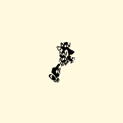 COc1ncnc(C2CC2)c1-c1ncc2nc(NCc3ccc(S(C)(=O)=O)cn3)c(=O)n(C(C)C(F)(F)F)c2n1